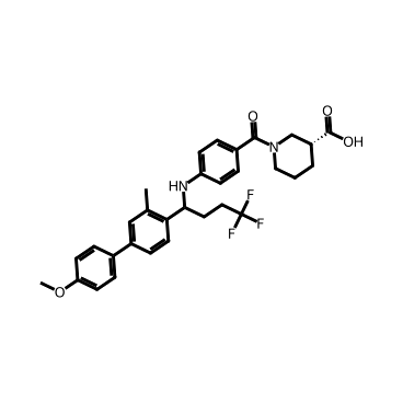 COc1ccc(-c2ccc(C(CCC(F)(F)F)Nc3ccc(C(=O)N4CCC[C@@H](C(=O)O)C4)cc3)c(C)c2)cc1